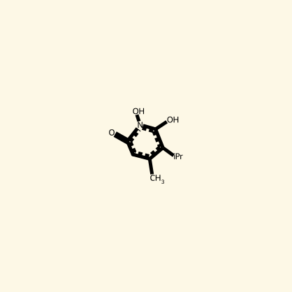 Cc1cc(=O)n(O)c(O)c1C(C)C